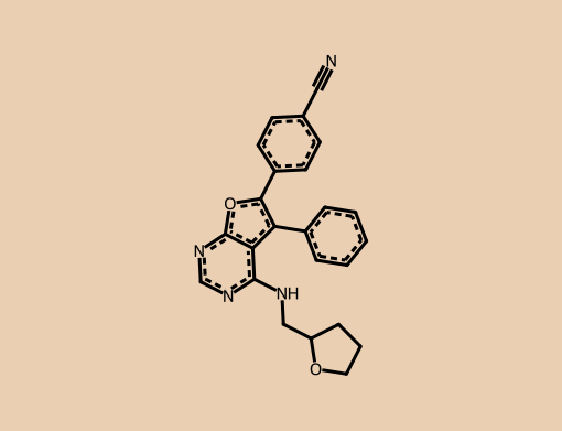 N#Cc1ccc(-c2oc3ncnc(NCC4CCCO4)c3c2-c2ccccc2)cc1